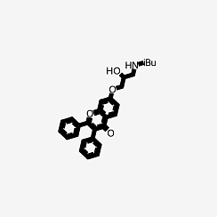 CCC(C)NCC(O)COc1ccc2c(=O)c(-c3ccccc3)c(-c3ccccc3)oc2c1